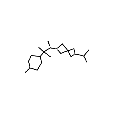 CC(C)N1CC2(C1)CN([C@H](C)C(C)(C)C1CCN(C)CC1)C2